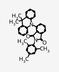 Cc1cc(C)c(N2C(=O)c3cccc(N4c5ccccc5C(C)(C)c5ccccc54)c3C2=O)c(C)c1